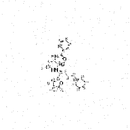 COCC(NC(=O)c1ccccn1)C(=O)NC(CCCc1ccccc1)B1OC(C)(C)C(C)(C)O1